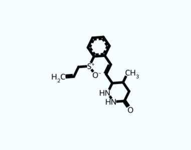 C=CC[S+]([O-])c1ccccc1/C=C/C1NNC(=O)CC1C